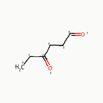 [CH2]CC(=O)CC[C]=O